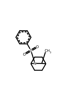 CC1C2CCC(CC2)N1S(=O)(=O)c1ccccc1